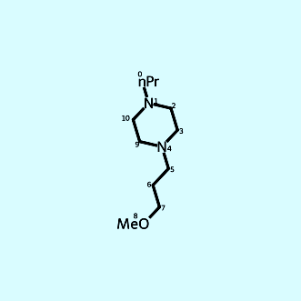 [CH2]CCN1CCN(CCCOC)CC1